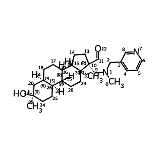 CN(Cc1cccnc1)C[C@@]1(C=O)CC[C@H]2[C@@H]3CC[C@@H]4C[C@](C)(O)CC[C@@H]4[C@H]3CC[C@@]21C